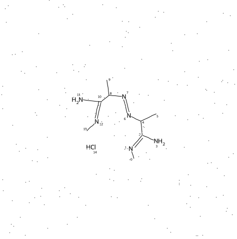 CN=C(N)C(C)N=NC(C)C(N)=NC.Cl